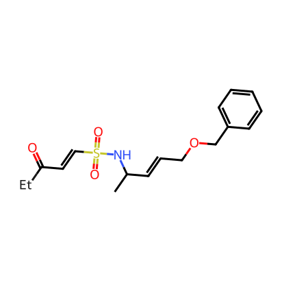 CCC(=O)C=CS(=O)(=O)NC(C)C=CCOCc1ccccc1